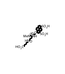 CNC(=O)C(CCC(=O)NCCCCCC(=O)O)NC(=O)COc1cc(S(=O)(=O)O)c2ccc3c(S(=O)(=O)O)ccc4ccc1c2c43